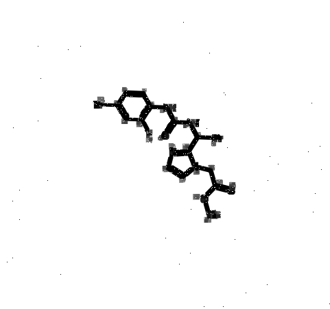 CC(C)C(NC(=O)Nc1ccc(Br)cc1F)c1nccn1CC(=O)OC(C)(C)C